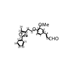 COc1cc(/C=C/C=O)ccc1OCCc1nc(-c2ccccc2)oc1C